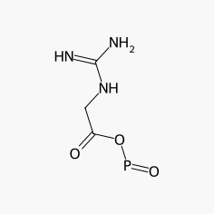 N=C(N)NCC(=O)OP=O